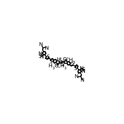 CC1(C)c2cc3sc(-c4ccc(-c5ccc(C=C(C#N)C#N)c6nsnc56)s4)cc3cc2-c2sc3c4c(sc3c21)-c1cc2cc(-c3ccc(-c5ccc(C=C(C#N)C#N)c6nsnc56)s3)sc2cc1C4(C)C